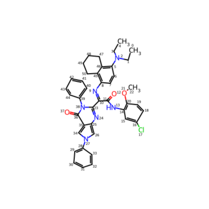 CCN(CC)c1ccc(/N=C(\C(=O)Nc2cc(Cl)ccc2OC)c2nc3cn(-c4ccccc4)cc3c(=O)n2-c2ccccc2)c2c1CCCC2